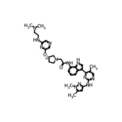 Cc1cnc(Nc2cc(C)n(C)n2)nc1-c1c[nH]c2c(NC(=O)CN3CC[C@H](Oc4cncc(NCCN(C)C)n4)C3)cccc12